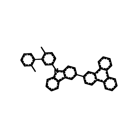 Cc1ccccc1-c1cc(-n2c3ccccc3c3cc(-c4ccc5c6ccccc6c6ccccc6c5c4)ccc32)ccc1C